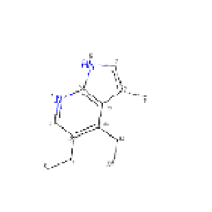 CCc1cnc2[nH]cc(C)c2c1CC